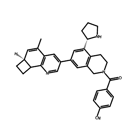 CC1=C[C@@H]2CCC2c2ncc(-c3cc4c(c([C@@H]5CCCN5)c3)CCN(C(=O)c3ccc(C#N)cc3)C4)cc21